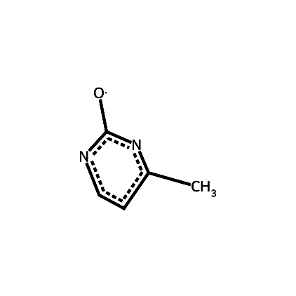 Cc1ccnc([O])n1